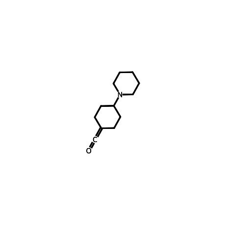 O=C=C1CCC(N2CCCCC2)CC1